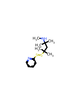 CNC(C)(C)CC(C)(C)SSc1ccccn1